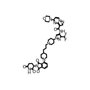 O=C1CCC(N2C(=O)c3cccc(N4CCC(CCCN5CCC(n6cc(NC(=O)c7cnn8ccc(N9CCOCC9)nc78)c(C(F)F)n6)CC5)CC4)c3C2=O)C(=O)N1